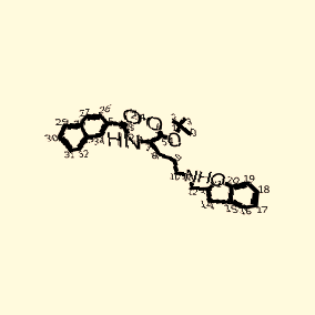 CC(C)(C)OC(=O)C(CCCNCC1Cc2ccccc2O1)NC(=O)c1ccc2ccccc2c1